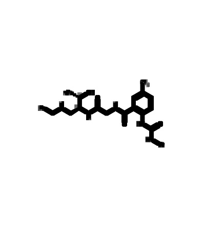 CCC[C@H](O)[C@H](CNCC(C)C)NC(=O)CNC(=O)c1cc(C(F)(F)F)ccc1NC(=O)NCC